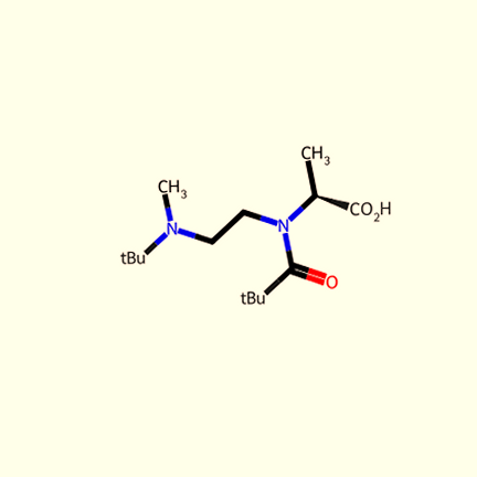 C[C@@H](C(=O)O)N(CCN(C)C(C)(C)C)C(=O)C(C)(C)C